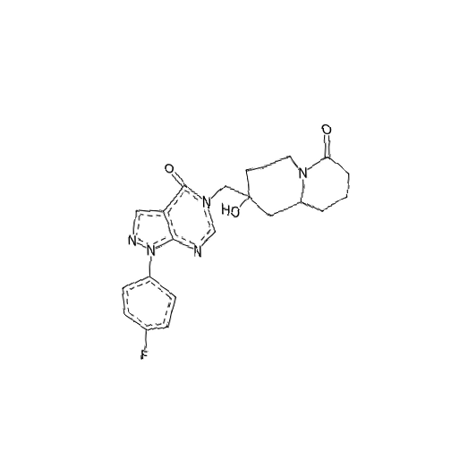 O=C1CCCC2CC(O)(Cn3cnc4c(cnn4-c4ccc(F)cc4)c3=O)CCN12